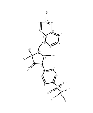 CC1(C)C(=O)N(c2ccc(S(=O)(=O)C(F)(F)F)cc2)C(=O)N1Cc1ccnc2cc(F)ccc12